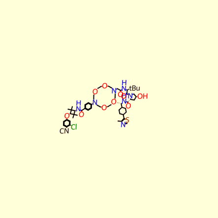 Cc1ncsc1C1CCC([C@H](C)NC(=O)[C@H]2C[C@@H](O)CN2C(=O)C(NC(=O)CN2CCOCCOCCN(c3ccc(C(=O)N[C@H]4C(C)(C)[C@H](Oc5ccc(C#N)c(Cl)c5)C4(C)C)cc3)CCOCCOCC2)C(C)(C)C)CC1